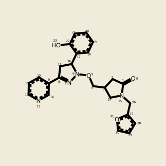 O=C1CC(CON2N=C(c3cccnc3)CC2c2ccccc2O)CN1Cc1ccco1